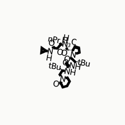 CCCC(NC(=O)[C@@H]1C(C)=CCN1C(=O)[C@@H](NC(=O)N[C@H](CN1CCCCC1=O)C(C)(C)C)C(C)(C)C)C(=O)C(=O)NC1CC1